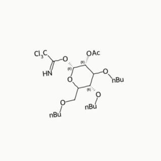 CCCCOCC1O[C@H](OC(=N)C(Cl)(Cl)Cl)[C@H](OC(C)=O)C(OCCCC)[C@@H]1OCCCC